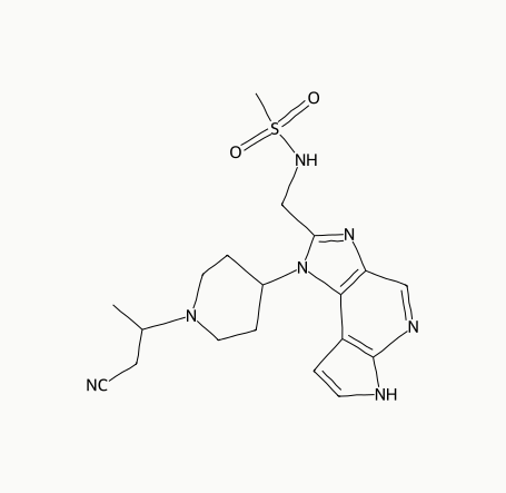 CC(CC#N)N1CCC(n2c(CNS(C)(=O)=O)nc3cnc4[nH]ccc4c32)CC1